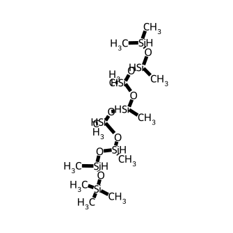 C[SiH](C)O[SiH](C)O[SiH](C)O[SiH](C)O[SiH](C)O[SiH](C)O[SiH](C)O[Si](C)(C)C